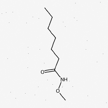 CCCCCCC(=O)NOC